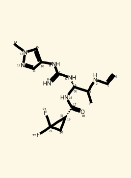 C=CNC(C)[C@@H](NC(=N)Nc1cnn(C)c1)NC(=O)[C@@H]1CC1(F)F